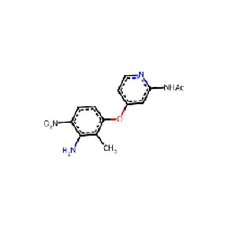 CC(=O)Nc1cc(Oc2ccc([N+](=O)[O-])c(N)c2C)ccn1